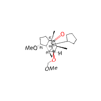 COCO[C@@H]1C[C@@](C)(C2CCCC2)C(=O)[C@H](C)C23CC[C@H]4C[C@]41C2[C@H](OC)CC3